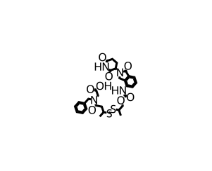 CC(COC(=O)Nc1cccc2c1CN(C1CCC(=O)NC1=O)C2=O)SSC(C)CC(=O)N(CC(=O)O)Cc1ccccc1